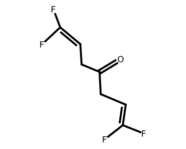 O=C(CC=C(F)F)CC=C(F)F